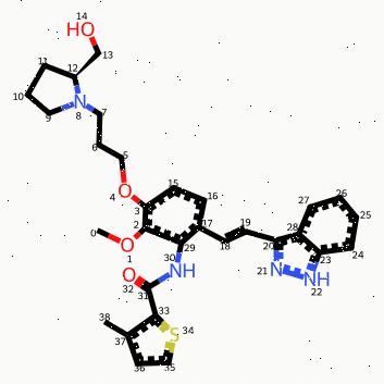 COc1c(OCCCN2CCC[C@H]2CO)ccc(/C=C/c2n[nH]c3ccccc23)c1NC(=O)c1sccc1C